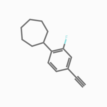 C#Cc1ccc(C2CCCCCC2)c(F)c1